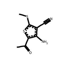 CSc1sc(C(C)=O)c(N)c1C#N